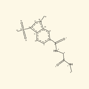 CNC(=O)CNC(=O)c1ccc2c(S(C)(=O)=O)cn(C)c2c1